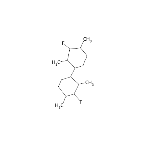 CC1CCC(C2CCC(C)C(F)C2C)C(C)C1F